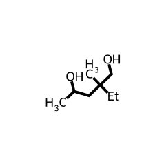 CCC(C)(CO)CC(C)O